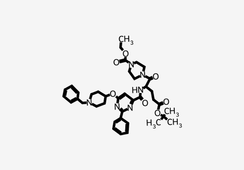 CCOC(=O)N1CCN(C(=O)C(CCC(=O)OC(C)(C)C)NC(=O)c2cc(OC3CCN(Cc4ccccc4)CC3)nc(-c3ccccc3)n2)CC1